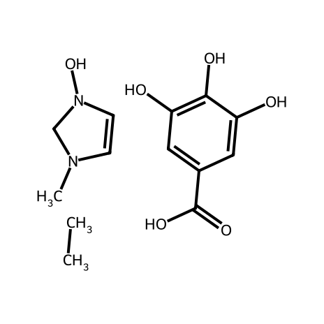 CC.CN1C=CN(O)C1.O=C(O)c1cc(O)c(O)c(O)c1